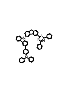 c1ccc(-c2nc(-c3ccccc3)nc(-c3ccc4c(c3)-c3cc(-n5c6ccccc6c6cc(-c7ccc(N(c8ccccc8)c8ccccc8)cc7)ccc65)ccc3C4)n2)cc1